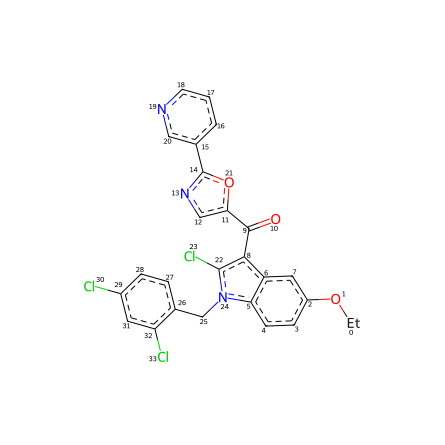 CCOc1ccc2c(c1)c(C(=O)c1cnc(-c3cccnc3)o1)c(Cl)n2Cc1ccc(Cl)cc1Cl